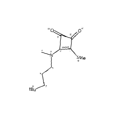 CSc1c(N(C)CCCC(C)(C)C)c(=O)c1=O